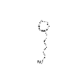 OCCCCCc1cc[c]cc1